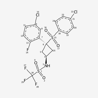 O=S(=O)(N[C@H]1C[C@@](c2cc(Cl)ccc2F)(S(=O)(=O)c2ccc(Cl)cc2)C1)C(F)(F)F